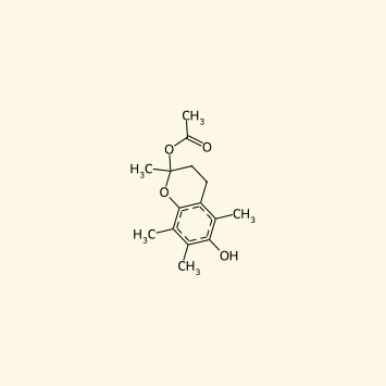 CC(=O)OC1(C)CCc2c(C)c(O)c(C)c(C)c2O1